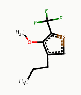 CCCc1[c]sc(C(F)(F)F)c1OC